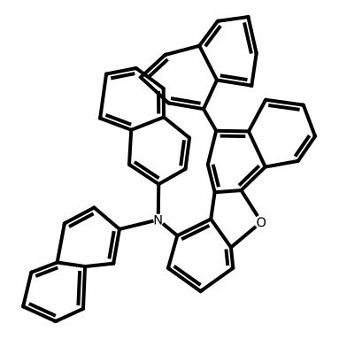 c1ccc2cc(N(c3ccc4ccccc4c3)c3cccc4oc5c6ccccc6c(-c6cccc7ccccc67)cc5c34)ccc2c1